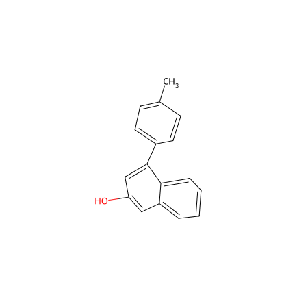 Cc1ccc(-c2cc(O)cc3ccccc23)cc1